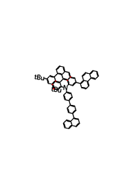 CC(C)(C)c1cc(-c2cccc3cccc(-c4ccccc4N(c4ccc(-c5ccc(-c6cccc7ccccc67)cc5)cc4)c4cccc(-c5cccc6c5ccc5ccccc56)c4)c23)cc(C(C)(C)C)c1